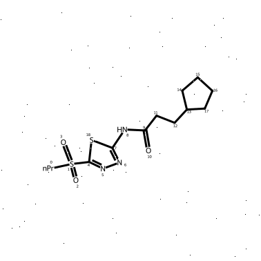 CCCS(=O)(=O)c1nnc(NC(=O)CCC2CCCC2)s1